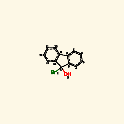 OC1(Br)c2ccccc2-c2ccccc21